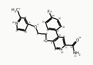 Cc1cc(OCCOc2cnc(C(N)=O)cc2-c2ccc(F)cc2)ccn1